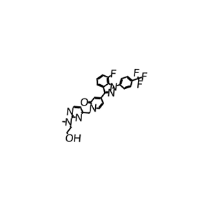 CN(CCO)c1nccc(Cn2ccc(-c3nn(-c4ccc(C(F)(F)F)cc4)c4c(F)cccc34)cc2=O)n1